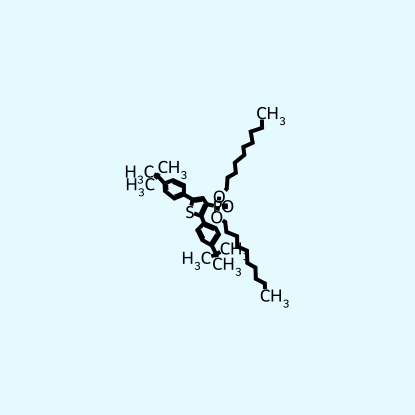 CCCCCCCCCCOP(=O)(OCCCCCCCCCC)c1cc(-c2ccc(C(C)(C)C)cc2)sc1-c1ccc(C(C)(C)C)cc1